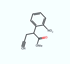 C#CCC(C(=O)OC)c1ccccc1[N+](=O)[O-]